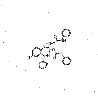 O=C(Nc1ccccc1)ONC1=Nc2ccc(Cl)cc2C(c2ccccc2)=NC1OC(=O)Oc1ccccc1